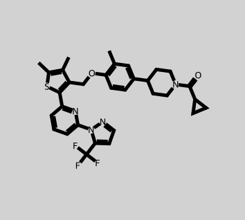 Cc1cc(C2CCN(C(=O)C3CC3)CC2)ccc1OCc1c(-c2cccc(-n3nccc3C(F)(F)F)n2)sc(C)c1C